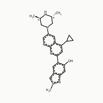 C[C@@H]1CN(c2cnc3nc(-c4cc5cn(C)nc5cc4O)cc(C4CC4)c3c2)C[C@@H](C)N1